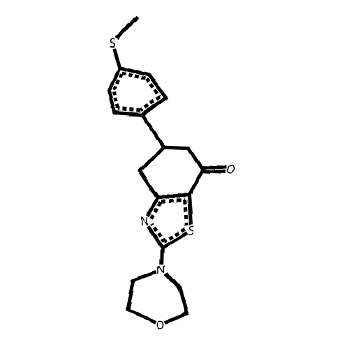 CSc1ccc(C2CC(=O)c3sc(N4CCOCC4)nc3C2)cc1